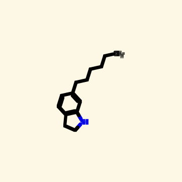 [CH2]CCCCCc1ccc2c(c1)NCC2